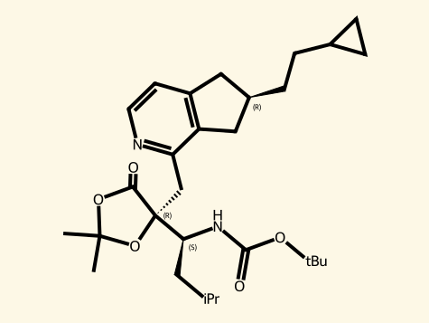 CC(C)C[C@H](NC(=O)OC(C)(C)C)[C@@]1(Cc2nccc3c2C[C@H](CCC2CC2)C3)OC(C)(C)OC1=O